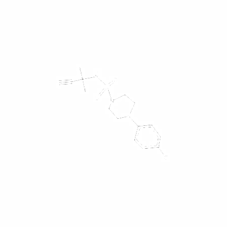 C#CC(C)(C)NS(=O)(=O)N1CCN(c2ccc(Cl)cc2)CC1